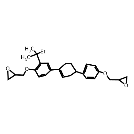 CCC(C)(C)c1cc(C2=CCC(c3ccc(OCC4CO4)cc3)CC2)ccc1OCC1CO1